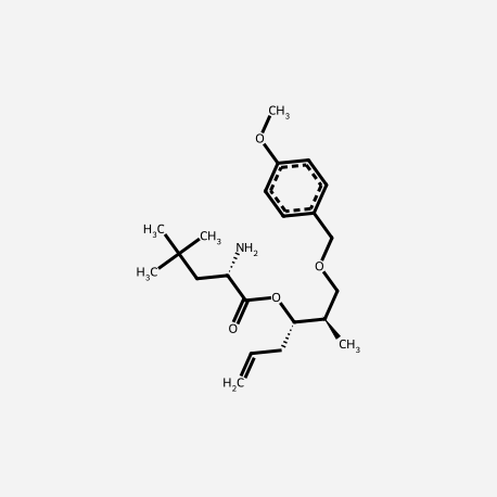 C=CC[C@H](OC(=O)[C@@H](N)CC(C)(C)C)[C@H](C)COCc1ccc(OC)cc1